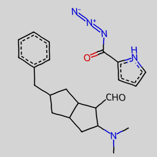 CN(C)C1CC2CC(Cc3ccccc3)CC2C1C=O.[N-]=[N+]=NC(=O)c1ccc[nH]1